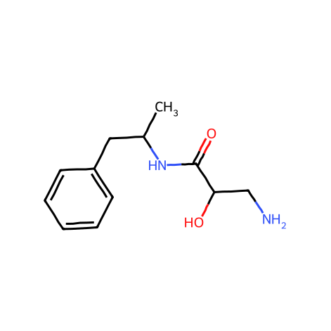 CC(Cc1ccccc1)NC(=O)C(O)CN